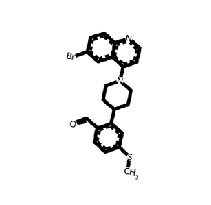 CSc1ccc(C=O)c(C2CCN(c3ccnc4ccc(Br)cc34)CC2)c1